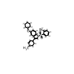 CN1C=CC(c2cn(S(=O)(=O)c3ccccc3Br)c3ccc(OC4CCCCC4)cc23)CC1